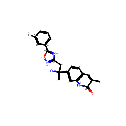 Cc1cc2ccc(C(C)(N)Cc3noc(-c4cccc(C(F)(F)F)c4)n3)cc2[nH]c1=O